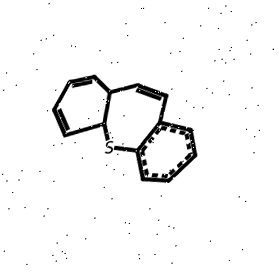 C1=CC2C=Cc3ccccc3SC2C=C1